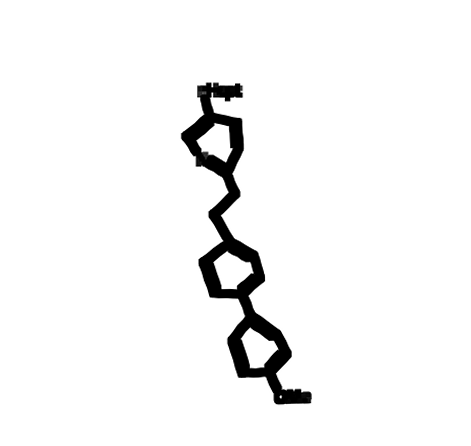 CCCCCCCc1ccc(CCc2ccc(-c3ccc(OC)cc3)cc2)nc1